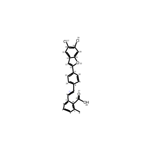 Cc1cccc(/C=C/c2ccc(-c3cc4cc(Cl)c(Cl)cc4o3)cc2)c1C(=O)O